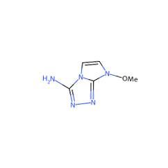 COn1ccn2c(N)nnc12